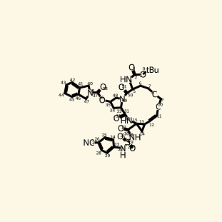 CC(C)(C)OC(=O)NC1CCCCCC=CC2CC2(C(=O)NS(=O)(=O)Nc2ccc(C#N)cc2)NC(=O)C2CC(OC(=O)N3Cc4ccccc4C3)CN2C1=O